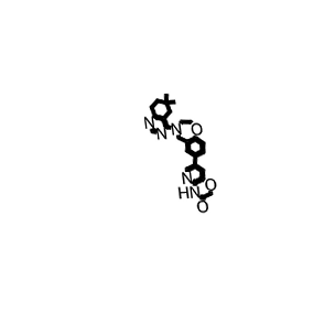 CC1(C)CCc2ncnc(N3CCOc4ccc(-c5cnc6c(c5)OCC(=O)N6)cc4C3)c2C1